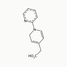 O=C(O)CC1=CCN(c2ccccn2)C=C1